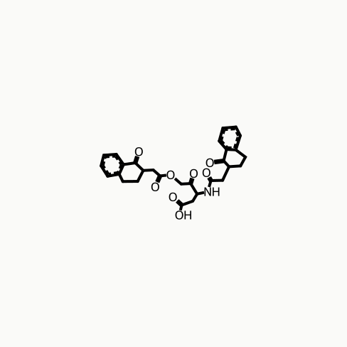 O=C(O)CC(NC(=O)CC1CCc2ccccc2C1=O)C(=O)COC(=O)CC1CCc2ccccc2C1=O